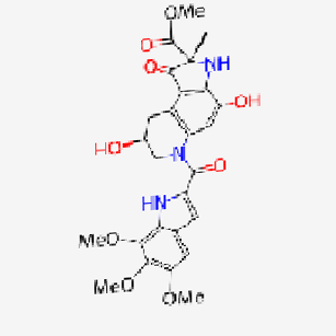 COC(=O)[C@]1(C)Nc2c(O)cc3c(c2C1=O)C[C@H](O)CN3C(=O)c1cc2cc(OC)c(OC)c(OC)c2[nH]1